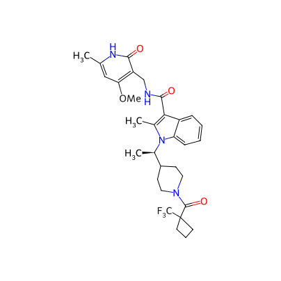 COc1cc(C)[nH]c(=O)c1CNC(=O)c1c(C)n([C@H](C)C2CCN(C(=O)C3(C(F)(F)F)CCC3)CC2)c2ccccc12